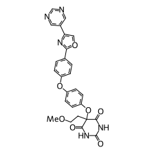 COCCC1(Oc2ccc(Oc3ccc(-c4nc(-c5cncnc5)co4)cc3)cc2)C(=O)NC(=O)NC1=O